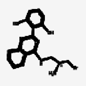 CC(C)C[C@@H](N)CNc1nc(-c2c(O)cccc2O)nc2ccccc12